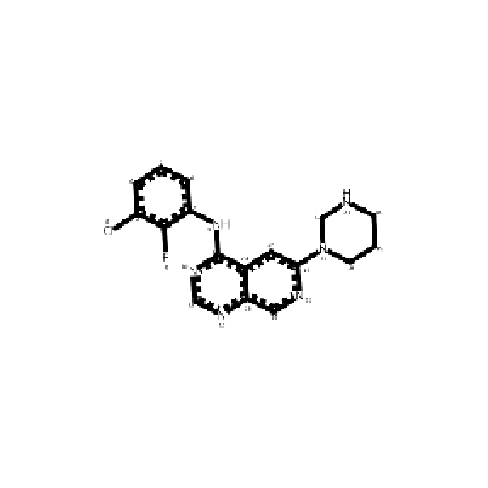 Fc1c(Cl)cccc1Nc1ncnc2cnc(N3CCCNC3)cc12